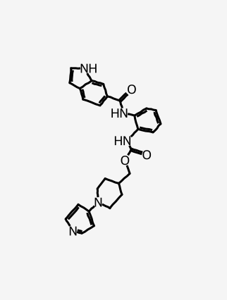 O=C(Nc1ccccc1NC(=O)c1ccc2cc[nH]c2c1)OCC1CCN(c2ccncc2)CC1